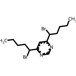 CCCCC(Br)c1cc(C(Br)CCCC)ncn1